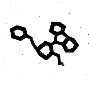 NCc1ccc(OCc2ccccc2)cc1C1c2ccccc2-c2ccccc21